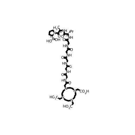 CC(C)[C@H](NC(=O)CNC(=O)CNC(=O)CNC(=O)CNC(=O)CNC(=O)CN1CCN(CC(=O)O)CCN(CC(=O)O)CCN(CC(=O)O)CC1)C(=O)N[C@H](C)C(=O)N1CCC[C@H]1B(O)O